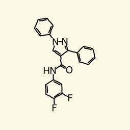 O=C(Nc1ccc(F)c(F)c1)c1cn(-c2ccccc2)nc1-c1ccccc1